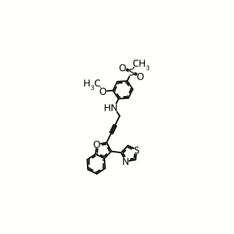 COc1cc(S(C)(=O)=O)ccc1NCC#Cc1oc2ccccc2c1-c1cscn1